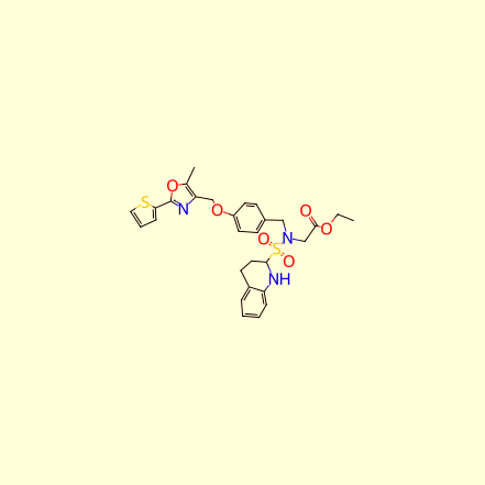 CCOC(=O)CN(Cc1ccc(OCc2nc(-c3cccs3)oc2C)cc1)S(=O)(=O)C1CCc2ccccc2N1